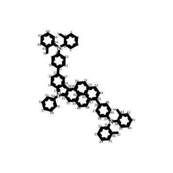 Cc1ccccc1N(c1ccc(-c2ccc3c(c2)c2c4ccc5ccc(-c6ccc(N(c7ccccc7C)c7ccccc7C)cc6)c6ccc(cc2n3-c2ccccc2)c4c56)cc1)c1ccccc1C